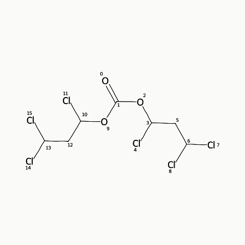 O=C(OC(Cl)CC(Cl)Cl)OC(Cl)CC(Cl)Cl